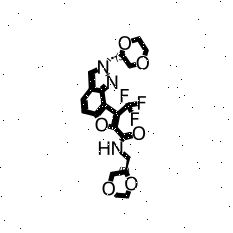 O=C(NC[C@@H]1COCCO1)c1oc2ccc3cn(C[C@H]4COCCO4)nc3c2c1C(F)(F)F